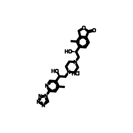 Cc1cc(-n2cnnn2)ncc1[C@@H](O)CN1CCN(C[C@H](O)c2ccc3c(c2C)COC3=O)CC1.Cl